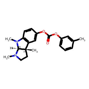 Cc1cccc(OC(=O)Oc2ccc3c(c2)[C@]2(C)CCN(C)[C@H]2N3C)c1